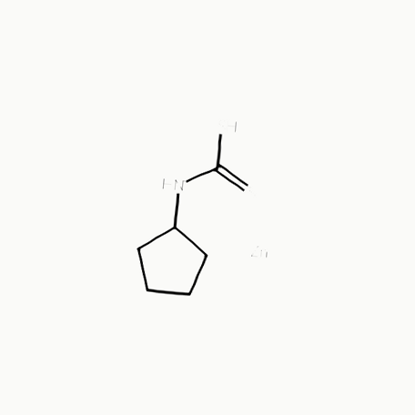 S=C(S)NC1CCCC1.[Zn]